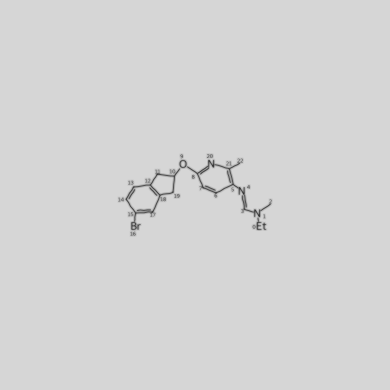 CCN(C)C=Nc1ccc(OC2Cc3ccc(Br)cc3C2)nc1C